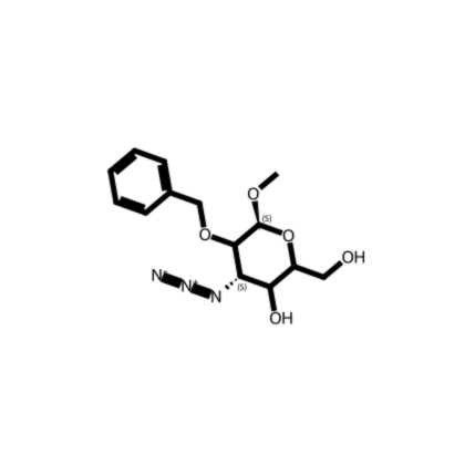 CO[C@H]1OC(CO)C(O)[C@H](N=[N+]=[N-])C1OCc1ccccc1